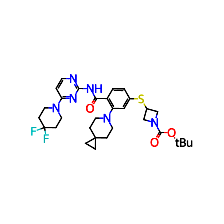 CC(C)(C)OC(=O)N1CC(Sc2ccc(C(=O)Nc3nccc(N4CCC(F)(F)CC4)n3)c(N3CCC4(CC3)CC4)c2)C1